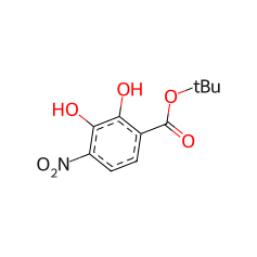 CC(C)(C)OC(=O)c1ccc([N+](=O)[O-])c(O)c1O